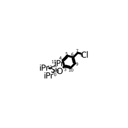 CC(C)[Si](Oc1ccc(CCl)cc1)(C(C)C)C(C)C